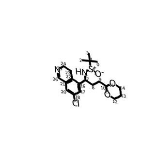 CC(C)(C)[S@+]([O-])NC(CCC1OCCCO1)c1cc(Cl)cc2c1CCN=C2